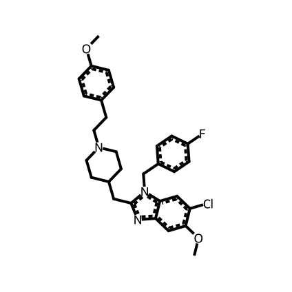 COc1ccc(CCN2CCC(Cc3nc4cc(OC)c(Cl)cc4n3Cc3ccc(F)cc3)CC2)cc1